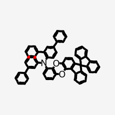 c1ccc(-c2cccc(N(c3ccc(-c4ccccc4)cc3-c3ccccc3)c3cccc4c3Oc3ccc5c(c3O4)-c3ccccc3C53c4ccccc4-c4ccccc43)c2)cc1